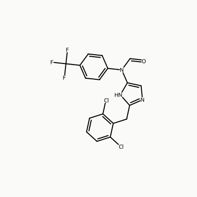 O=CN(c1ccc(C(F)(F)F)cc1)c1cnc(Cc2c(Cl)cccc2Cl)[nH]1